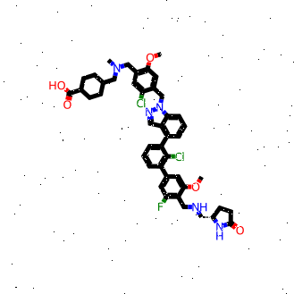 COc1cc(Cn2ncc3c(-c4cccc(-c5cc(F)c(CNC[C@@H]6CCC(=O)N6)c(OC)c5)c4Cl)cccc32)c(Cl)cc1CN(C)CC1CCC(C(=O)O)CC1